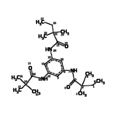 CCC(C)(C)C(=O)Nc1cc(NC(=O)C(C)(C)C)cc(NC(=O)C(C)(C)CC)c1